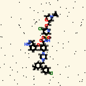 CC1(C)CCC(CN2CCN(c3ccc(C(=O)NS(=O)(=O)c4cnc(OC[C@@H]5CN(C6CC6)CCO5)c(Cl)c4)c(Oc4cccc5[nH]ncc45)c3)CC2)=C(c2ccc(Cl)cc2)C1